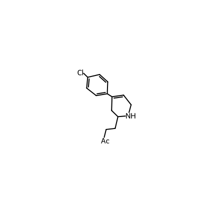 CC(=O)CCC1CC(c2ccc(Cl)cc2)=CCN1